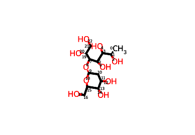 C[C@@H](O)C(O)C(O)C(O[C@H]1CC(O)C(O)C(CO)O1)[C@H](O)CO